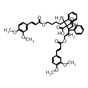 COc1ccc(C=CC(=O)OCCCCc2ccccc2C(N)(CCCCOC(=O)C=Cc2ccc(OC)c(OC)c2)C(C(=O)O)(C(=O)O)C(N)c2ccccc2)cc1OC